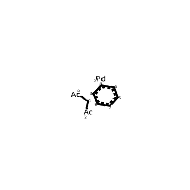 CC(=O)CC(C)=O.[Pd].c1ccccc1